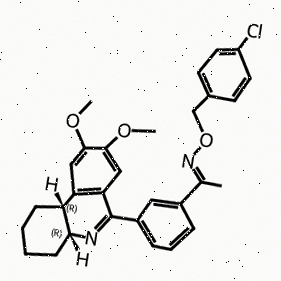 COc1cc2c(cc1OC)[C@H]1CCCC[C@H]1N=C2c1cccc(C(C)=NOCc2ccc(Cl)cc2)c1